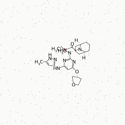 CCNC(=O)CN1[C@@H]2CCC[C@H]1C[C@H](N(C)c1nc(Nc3cc(C)[nH]n3)cc(O[C@@H]3CCOC3)n1)C2